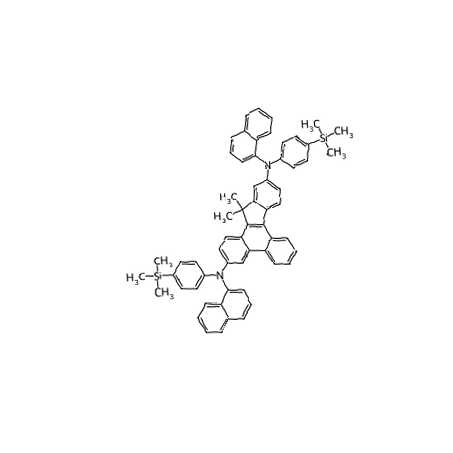 CC1(C)c2cc(N(c3ccc([Si](C)(C)C)cc3)c3cccc4ccccc34)ccc2-c2c1c1ccc(N(c3ccc([Si](C)(C)C)cc3)c3cccc4ccccc34)cc1c1ccccc21